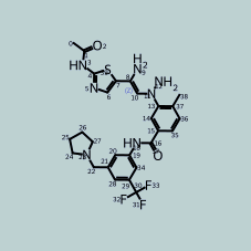 CC(=O)Nc1ncc(/C(N)=C/N(N)c2cc(C(=O)Nc3cc(CN4CCCC4)cc(C(F)(F)F)c3)ccc2C)s1